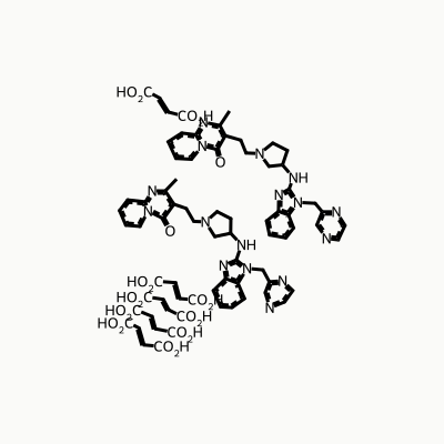 Cc1nc2ccccn2c(=O)c1CCN1CCC(Nc2nc3ccccc3n2Cc2cnccn2)C1.Cc1nc2ccccn2c(=O)c1CCN1CCC(Nc2nc3ccccc3n2Cc2cnccn2)C1.O=C(O)C=CC(=O)O.O=C(O)C=CC(=O)O.O=C(O)C=CC(=O)O.O=C(O)C=CC(=O)O.O=C(O)C=CC(=O)O